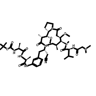 CC[C@H](C)[C@@H]([C@@H](CC(=O)N1CCC[C@H]1[C@H](OC)[C@@H](C)C(=O)N[C@H](CC#N)Cc1cccc(NC(=O)[C@H](C)NC(=O)[C@H](C)NC(=O)OC(C)(C)C)c1)OC)N(C)C(=O)[C@@H](NC(=O)CN(C)C)C(C)C